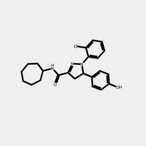 O=C(NC1CCCCCC1)C1=NN(c2ccccc2Cl)C(c2ccc(O)cc2)C1